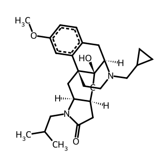 COc1ccc2c(c1)[C@]13CCN(CC4CC4)[C@H](C2)[C@]1(O)C[C@H]1CC(=O)N(CC(C)C)[C@H]1C3